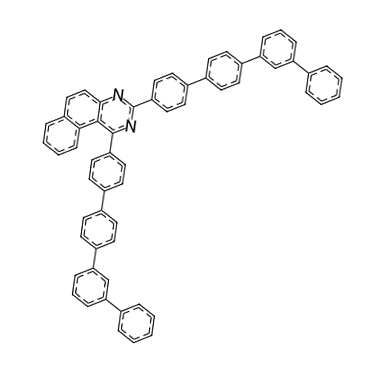 c1ccc(-c2cccc(-c3ccc(-c4ccc(-c5nc(-c6ccc(-c7ccc(-c8cccc(-c9ccccc9)c8)cc7)cc6)c6c(ccc7ccccc76)n5)cc4)cc3)c2)cc1